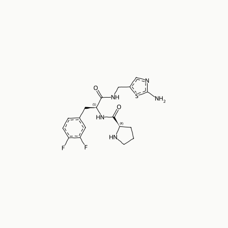 Nc1ncc(CNC(=O)[C@H](Cc2ccc(F)c(F)c2)NC(=O)[C@H]2CCCN2)s1